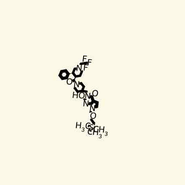 C[Si](C)(C)CCOCn1ccc2c(=O)n(CC3(O)CCN(C(=O)[C@@H]4CCN(CC(F)(F)F)C[C@H]4c4ccccc4)CC3)cnc21